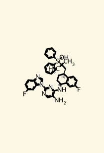 CC(C)(C[C@@H]1CC[C@@H](Nc2nc(-n3cnc4ccc(F)cc43)ncc2N)c2cc(F)ccc21)[Si](O)(c1ccccc1)c1ccccc1